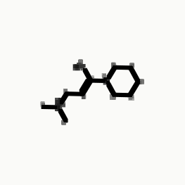 CCCC(=CC[SiH](C)C)N1CCCCC1